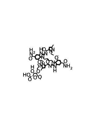 CCn1nc(C)cc1C(=O)/N=c1/[nH]c2cc(C(N)=O)cc(OC)c2n1C/C=C/Cn1/c(=N/C(=O)c2cc(C)nn2CC)[nH]c2cc(C(N)=O)cc(OCCCO[C@H]3[C@H](OC)O[C@H](C(=O)O)[C@H]3O)c21